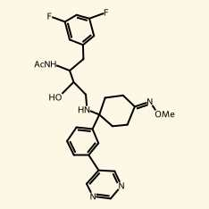 CON=C1CCC(NCC(O)C(Cc2cc(F)cc(F)c2)NC(C)=O)(c2cccc(-c3cncnc3)c2)CC1